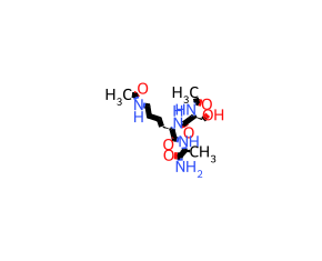 CC(=O)NCCCC[C@H](NC(=O)[C@@H](CO)NC(C)=O)C(=O)N[C@@H](C)C(N)=O